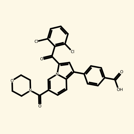 O=C(O)c1ccc(-c2cc(C(=O)c3c(Cl)cccc3Cl)n3cc(C(=O)N4CCOCC4)ccc23)cc1